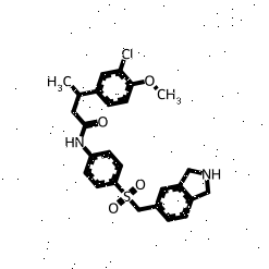 COc1ccc(C(C)CC(=O)Nc2ccc(S(=O)(=O)Cc3ccc4c(c3)CNC4)cc2)cc1Cl